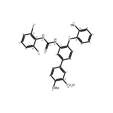 COc1ccc(-c2ccc(Oc3ccccc3C(C)(C)C)c(NC(=O)Nc3c(F)cccc3F)c2)cc1C(=O)O